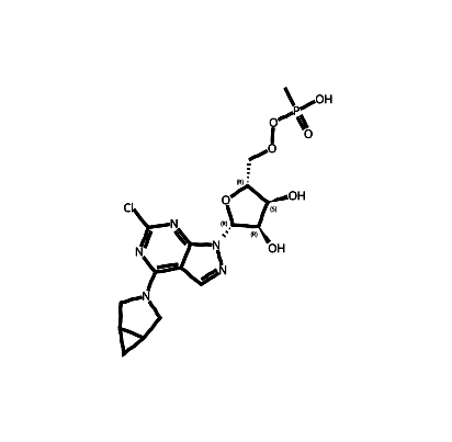 CP(=O)(O)OOC[C@H]1O[C@@H](n2ncc3c(N4CC5CC5C4)nc(Cl)nc32)[C@H](O)[C@@H]1O